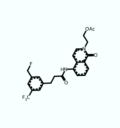 CC(=O)OCCn1ccc2c(NC(=O)CCc3cc(CF)cc(C(F)(F)F)c3)cccc2c1=O